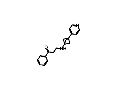 O=C(CCNC12CC(c3ccncc3)(C1)C2)c1ccccc1